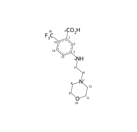 O=C(O)c1cc(NCCN2CCOCC2)ccc1C(F)(F)F